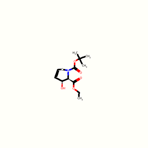 CCOC(=O)[C@H]1[C@@H](O)C=CCN1C(=O)OC(C)(C)C